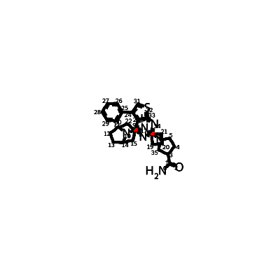 NC(=O)C1CCN(c2nc(N3C4CCC3CC(NC3CCC3)C4)c3c(-c4ccccc4)csc3n2)C1